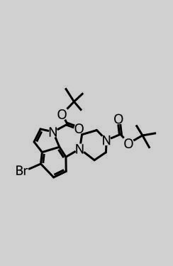 CC(C)(C)OC(=O)N1CCN(c2ccc(Br)c3ccn(C(=O)OC(C)(C)C)c23)CC1